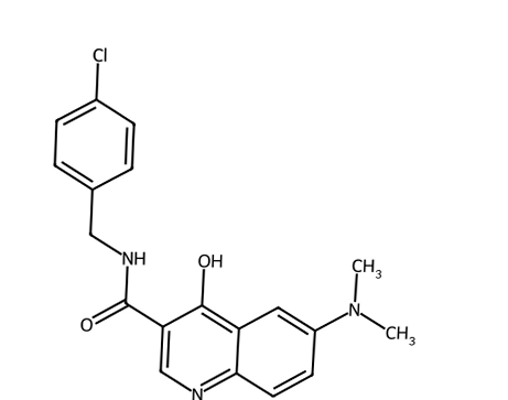 CN(C)c1ccc2ncc(C(=O)NCc3ccc(Cl)cc3)c(O)c2c1